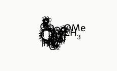 COc1ccc2c(O[C@@H]3C[C@H]4C(=O)N[C@]5(C(=O)NS(=O)(=O)C6CC6)C[C@H]5/C=C\CCCCC[C@H](CC(=O)N5CCCCC5)C(=O)N4C3)cc(-c3ccccn3)nc2c1C